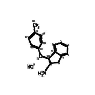 Cl.NC1Cc2ccccc2C1Oc1ccc(C(F)(F)F)cc1